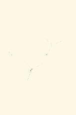 CC(=O)[O-].[Cl][Ru]([Cl])[Cl].[Na+]